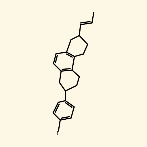 C/C=C/C1CCc2c(ccc3c2CCC(c2ccc(F)cc2)C3)C1